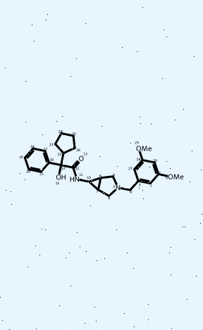 COc1cc(CN2CC3C(C2)C3NC(=O)C(O)(c2ccccc2)C2CCCC2)cc(OC)c1